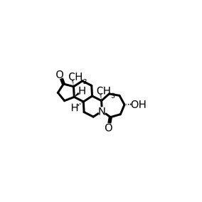 C[C@]12CCC3[C@@H](CCN4C(=O)C[C@@H](O)CC[C@]34C)[C@@H]1CCC2=O